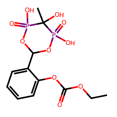 CCOC(=O)Oc1ccccc1C1OP(=O)(O)C(C)(O)P(=O)(O)O1